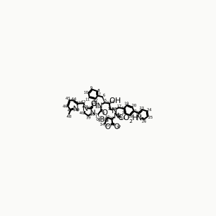 CC[C@H](C)[C@@H](C(=O)N[C@@H](Cc1ccccc1)[C@@H](O)CN(Cc1ccc(-c2ccccn2)cc1)N(C(=O)O)C1CCOC1=O)N1CCN(Cc2cccc(C)n2)C1=O